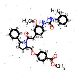 COC(=O)c1ccc(OCC2CCC(c3ccccc3)N2C(=O)Cc2ccc(NC(=O)Nc3ccccc3C)c(OC)c2)cc1